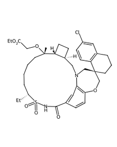 CCOC(=O)CO[C@@]1(C)CCCC[C@@H](CC)S(=O)(=O)NC(=O)c2ccc3c(c2)N(C[C@@H]2CC[C@H]21)C[C@@]1(CCCc2cc(Cl)ccc21)CO3